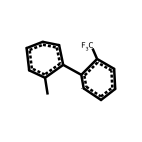 Cc1ccccc1-c1[c]cccc1C(F)(F)F